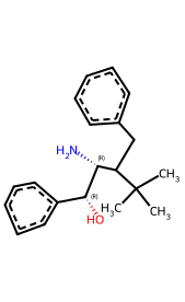 CC(C)(C)C(Cc1ccccc1)[C@@H](N)[C@H](O)c1ccccc1